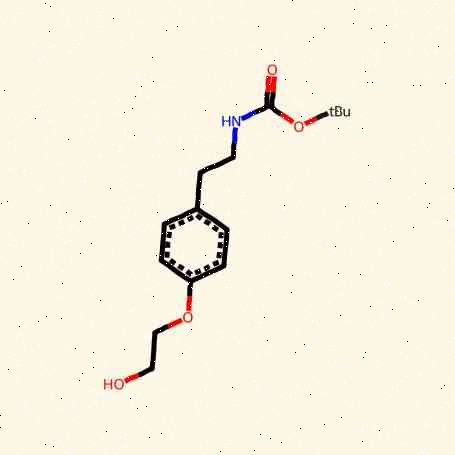 CC(C)(C)OC(=O)NCCc1ccc(OCCO)cc1